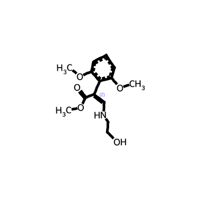 COC(=O)/C(=C\NCCO)c1c(OC)cccc1OC